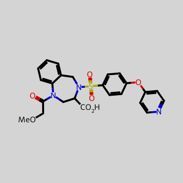 COCC(=O)N1CC(C(=O)O)N(S(=O)(=O)c2ccc(Oc3ccncc3)cc2)Cc2ccccc21